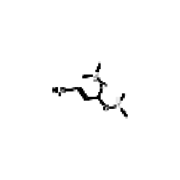 C[SiH](C)OC(C=C[SiH3])O[SiH](C)C